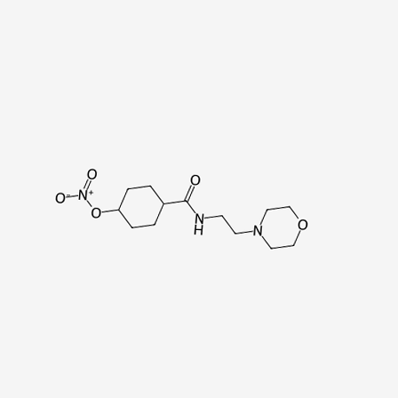 O=C(NCCN1CCOCC1)C1CCC(O[N+](=O)[O-])CC1